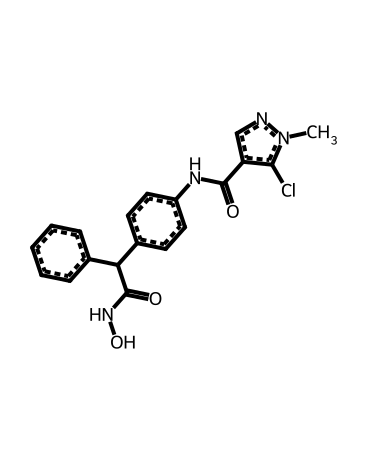 Cn1ncc(C(=O)Nc2ccc(C(C(=O)NO)c3ccccc3)cc2)c1Cl